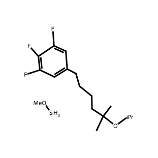 CC(C)OC(C)(C)CCCCc1cc(F)c(F)c(F)c1.CO[SiH3]